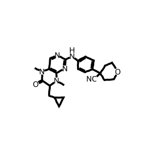 CN1C(=O)C(CC2CC2)N(C)c2nc(Nc3ccc(C4(C#N)CCOCC4)cc3)ncc21